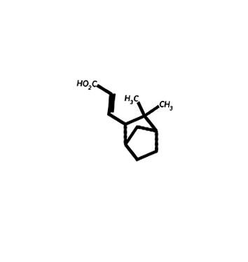 CC1(C)C2CCC(C2)C1C=CC(=O)O